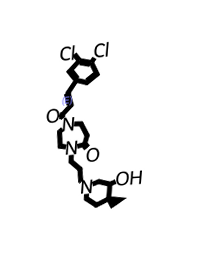 O=C(/C=C/c1ccc(Cl)c(Cl)c1)N1CCC(=O)N(CCCN2CCC3(CC3)C(O)C2)CC1